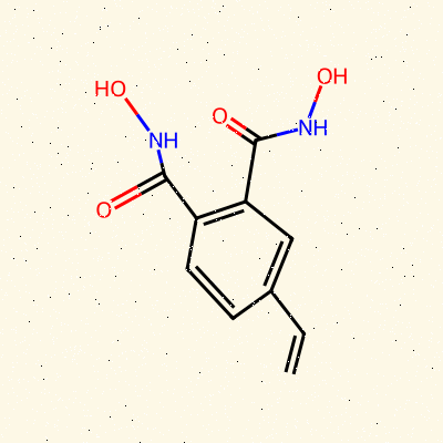 C=Cc1ccc(C(=O)NO)c(C(=O)NO)c1